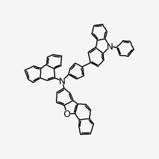 c1ccc(-n2c3ccccc3c3cc(-c4ccc(N(c5ccc6oc7c8ccccc8ccc7c6c5)c5cc6ccccc6c6ccccc56)cc4)ccc32)cc1